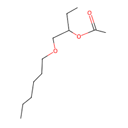 CCCCCCOCC(CC)OC(C)=O